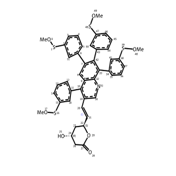 COSc1cccc(-c2cc3c(-c4cccc(SOC)c4)c(/C=C/[C@@H]4C[C@@H](O)CC(=O)O4)cnc3c(-c3cccc(SOC)c3)c2-c2cccc(SOC)c2)c1